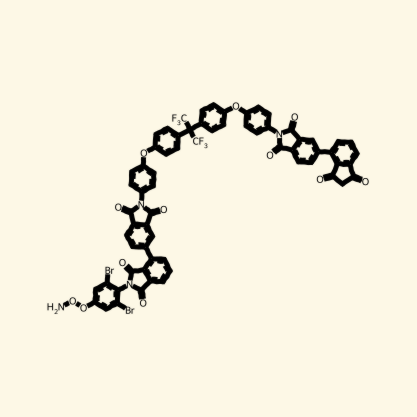 NOOc1cc(Br)c(N2C(=O)c3cccc(-c4ccc5c(c4)C(=O)N(c4ccc(Oc6ccc(C(c7ccc(Oc8ccc(N9C(=O)c%10ccc(-c%11cccc%12c%11C(=O)CC%12=O)cc%10C9=O)cc8)cc7)(C(F)(F)F)C(F)(F)F)cc6)cc4)C5=O)c3C2=O)c(Br)c1